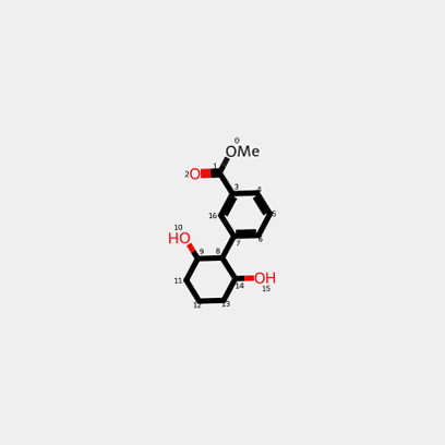 COC(=O)c1cccc(C2C(O)CCCC2O)c1